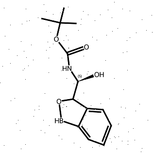 CC(C)(C)OC(=O)N[C@@H](O)C1OBc2ccccc21